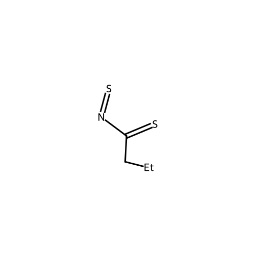 CCCC(=S)N=S